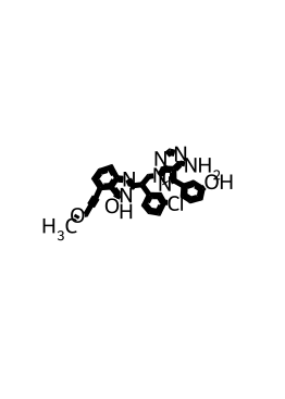 COCC#Cc1cccc2nc(C(Cn3nc(-c4cccc(O)c4)c4c(N)ncnc43)c3cccc(Cl)c3)[nH]c(=O)c12